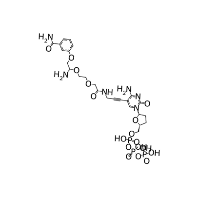 NC(=O)c1cccc(OCC(N)OCCOCC(=O)NCC#Cc2cn([C@H]3CC[C@@H](COP(=O)(O)OP(=O)(O)OP(=O)(O)O)O3)c(=O)nc2N)c1